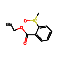 C[S+]([O-])c1ccccc1C(=O)OCC(C)(C)C